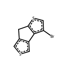 Brc1csc2c1-c1cscc1C2